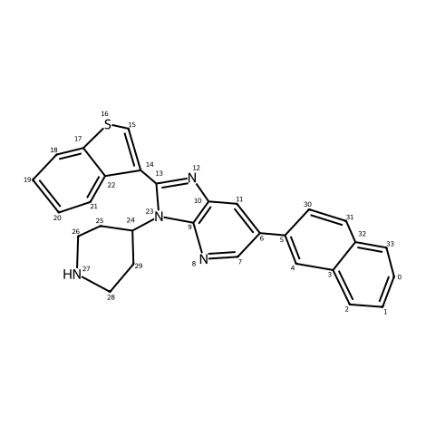 c1ccc2cc(-c3cnc4c(c3)nc(-c3csc5ccccc35)n4C3CCNCC3)ccc2c1